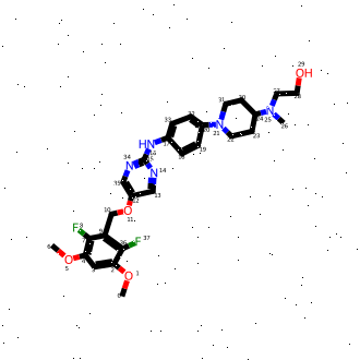 COc1cc(OC)c(F)c(COc2cnc(Nc3ccc(N4CCC(N(C)CCO)CC4)cc3)nc2)c1F